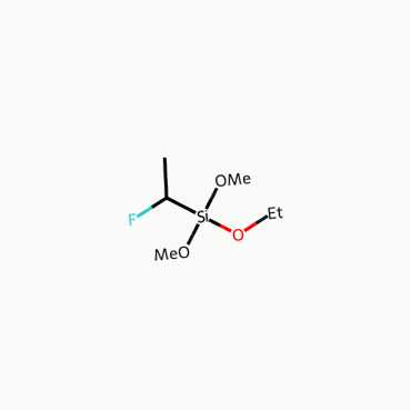 CCO[Si](OC)(OC)C(C)F